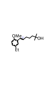 CCc1ccc(OC)c(/C=C/CCCC(C)(C)O)c1